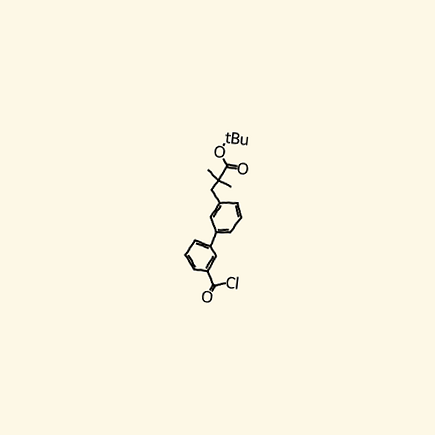 CC(C)(C)OC(=O)C(C)(C)Cc1cccc(-c2cccc(C(=O)Cl)c2)c1